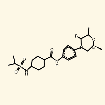 CC1O[C@@H](C)CN(c2ccc(NC(=O)C3CCC(NS(=O)(=O)C(C)C)CC3)cc2)C1F